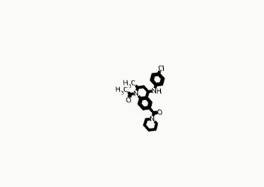 CC(=O)N1c2ccc(C(=O)N3CCCCC3)cc2C(Nc2ccc(Cl)cc2)CC1C